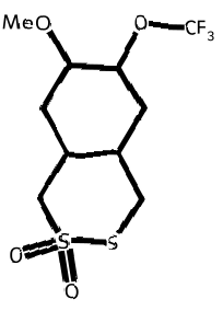 COC1CC2CS(=O)(=O)SCC2CC1OC(F)(F)F